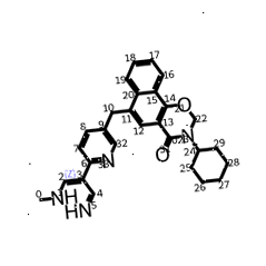 CN/C=C(\C=N)c1ccc(Cc2cc3c(c4ccccc24)OCN(C2CCCCC2)C3=O)cn1